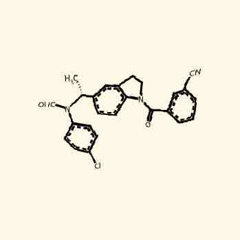 C[C@H](c1ccc2c(c1)CCN2C(=O)c1cccc(C#N)c1)N(C=O)c1ccc(Cl)cc1